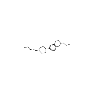 CCCCC[C@H]1CC[C@H](c2ccc3c(c2)CCC(CCC)C3)CC1